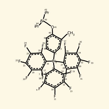 Cc1cc([B-](c2c(F)c(F)c(F)c(F)c2F)(c2c(F)c(F)c(F)c(F)c2F)c2c(F)c(F)c(F)c(F)c2F)ccc1[O][Al]([CH](C)C)[CH](C)C